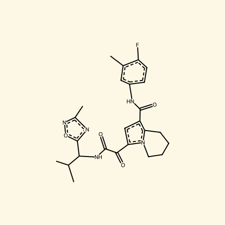 Cc1noc(C(NC(=O)C(=O)c2cc(C(=O)Nc3ccc(F)c(C)c3)c3n2CCCC3)C(C)C)n1